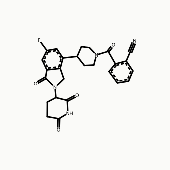 N#Cc1ccccc1C(=O)N1CCC(c2cc(F)cc3c2CN(C2CCC(=O)NC2=O)C3=O)CC1